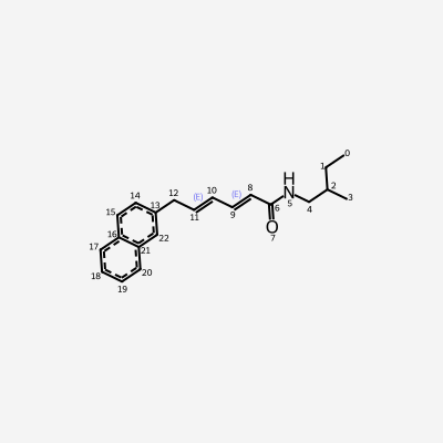 CCC(C)CNC(=O)/C=C/C=C/Cc1ccc2ccccc2c1